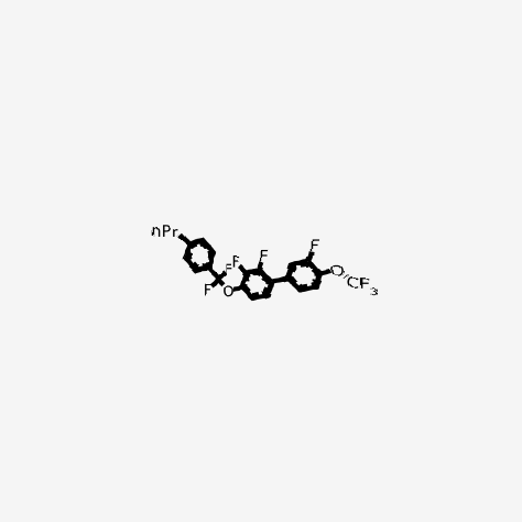 CCCc1ccc(C(F)(F)Oc2ccc(-c3ccc(OC(F)(F)F)c(F)c3)c(F)c2F)cc1